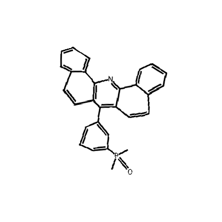 CP(C)(=O)c1cccc(-c2c3ccc4ccccc4c3nc3c2ccc2ccccc23)c1